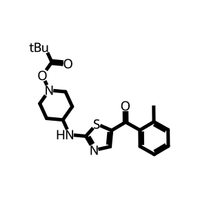 Cc1ccccc1C(=O)c1cnc(NC2CCN(OC(=O)C(C)(C)C)CC2)s1